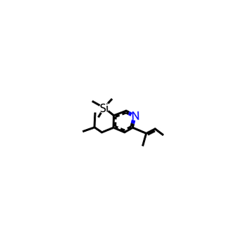 C/C=C(\C)c1cc(CC(C)C)c([Si](C)(C)C)cn1